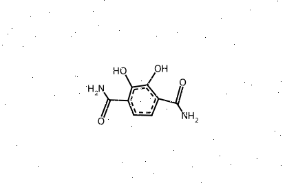 NC(=O)c1ccc(C(N)=O)c(O)c1O